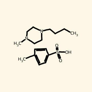 CCCCN1CCN(C)CC1.Cc1ccc(S(=O)(=O)O)cc1